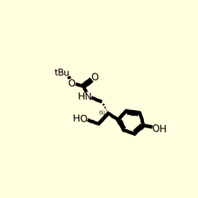 CC(C)(C)OC(=O)NC[C@@H](CO)c1ccc(O)cc1